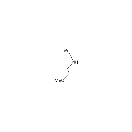 CC[CH]NCCOC